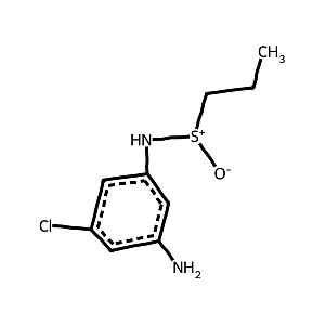 CCC[S+]([O-])Nc1cc(N)cc(Cl)c1